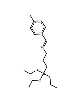 CCO[Si](CCCN=Cc1ccc(C)cc1)(OCC)OCC